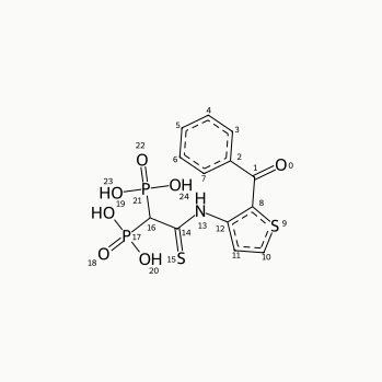 O=C(c1ccccc1)c1sccc1NC(=S)C(P(=O)(O)O)P(=O)(O)O